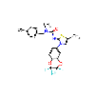 CCc1ccc(CN(C)C(=O)N=c2sc(C)cn2-c2ccc3c(c2)OC(F)(F)C(F)(F)O3)cc1